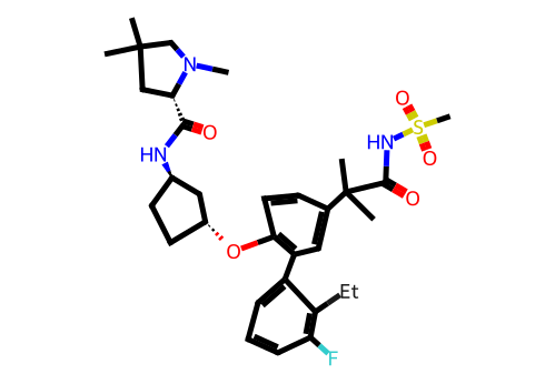 CCc1c(F)cccc1-c1cc(C(C)(C)C(=O)NS(C)(=O)=O)ccc1O[C@@H]1CC[C@@H](NC(=O)[C@@H]2CC(C)(C)CN2C)C1